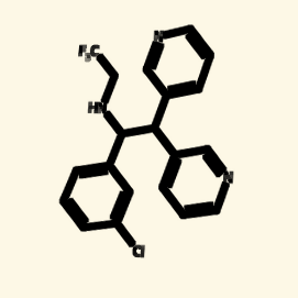 FC(F)(F)CNC(c1cccc(Cl)c1)C(c1cccnc1)c1cccnc1